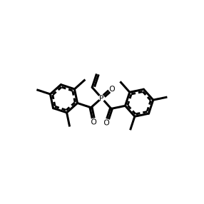 C=CP(=O)(C(=O)c1c(C)cc(C)cc1C)C(=O)c1c(C)cc(C)cc1C